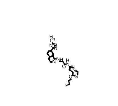 Cc1nc(-c2ccc3ccnc(NCCC(=O)Nc4cc5c(OCCCF)nccn5n4)c3c2)no1